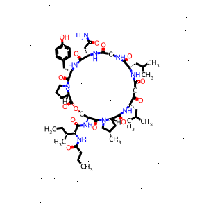 CCCC(=O)N[C@H](C(=O)N[C@H]1COC(=O)[C@@H]2CCCN2C(=O)[C@H](Cc2ccc(O)cc2)NC(=O)[C@H](CC(N)=O)NC(=O)CNC(=O)[C@H](CC(C)C)NC(=O)CC(=O)[C@H](CC(C)C)NC(=O)[C@@H]2C[C@H](C)CN2C1=O)[C@@H](C)CC